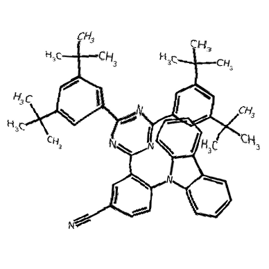 CC(C)(C)c1cc(-c2nc(-c3cc(C(C)(C)C)cc(C(C)(C)C)c3)nc(-c3cc(C#N)ccc3-n3c4ccccc4c4ccccc43)n2)cc(C(C)(C)C)c1